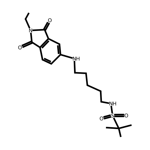 CCN1C(=O)c2ccc(NCCCCCNS(=O)(=O)C(C)(C)C)cc2C1=O